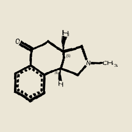 CN1C[C@H]2CC(=O)c3ccccc3[C@H]2C1